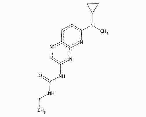 CCNC(=O)Nc1cnc2ccc(N(C)C3CC3)nc2n1